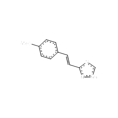 COc1ccc(/C=C/c2nc[nH]n2)cc1